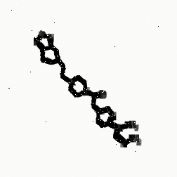 N/N=C\N(N)c1ccc(CC(=O)N2CCN(CCc3ccc4nonc4c3)CC2)cn1